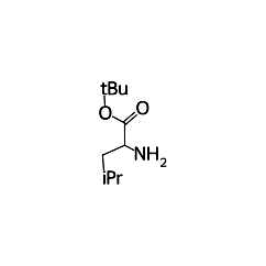 CC(C)CC(N)C(=O)OC(C)(C)C